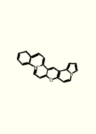 C1=CCc2ccc3c4c(cc[n+]3c2=C1)Oc1ccn2cccc2c1C=4